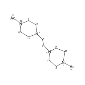 CC(=O)N1CCN(CCN2CCN(C(C)=O)CC2)CC1